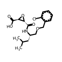 CC(C)C[C@@H](COCc1ccccc1Cl)NC(=O)[C@H]1O[C@@H]1C(=O)O